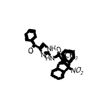 CC1(C(=O)Nc2nc(C(=O)c3ccccc3)c[nH]2)CC2([N+](=O)[O-])c3ccccc3C1c1ccccc12